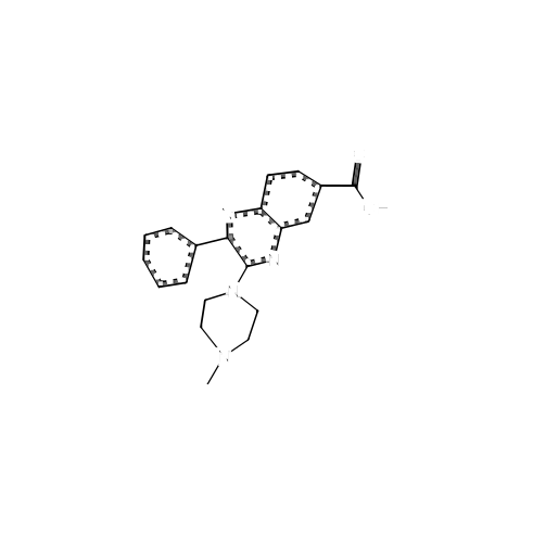 CN1CCN(c2nc3cc(C(=O)O)ccc3nc2-c2ccccc2)CC1